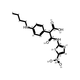 CCCCNc1ccc(C(C(=O)O)C(=O)Nc2ncc([N+](=O)[O-])s2)cc1